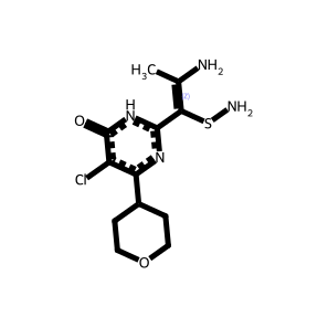 C/C(N)=C(/SN)c1nc(C2CCOCC2)c(Cl)c(=O)[nH]1